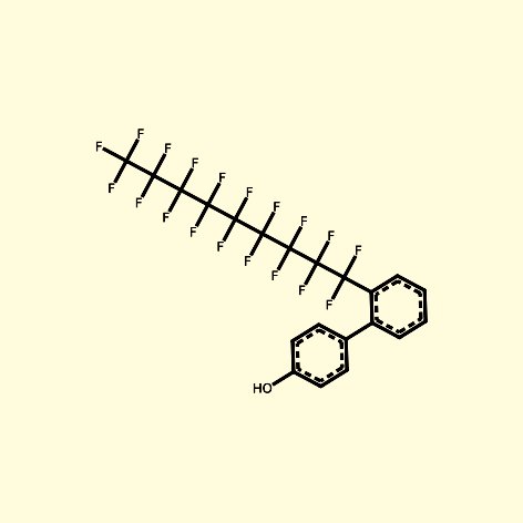 Oc1ccc(-c2ccccc2C(F)(F)C(F)(F)C(F)(F)C(F)(F)C(F)(F)C(F)(F)C(F)(F)C(F)(F)C(F)(F)F)cc1